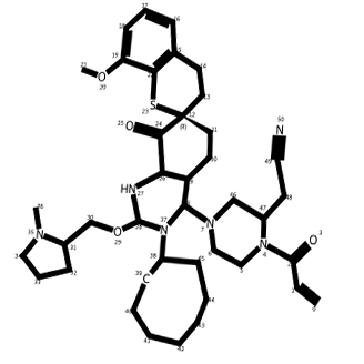 C=CC(=O)N1CCN(C2C3CC[C@@]4(CCc5cccc(OC)c5S4)C(=O)C3NC(OCC3CCCN3C)N2C2CCCCCCC2)CC1CC#N